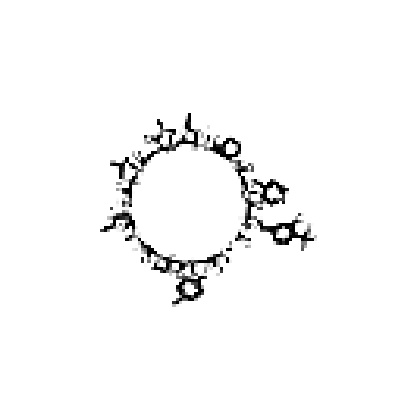 CC[C@H](C)[C@@H]1NC(=O)[C@H](CC(C)C)N(C)C(=O)C[C@@H](C(=O)N(C)C)N(C)C(=O)[C@H]([C@@H](C)CC)N(C)C(=O)C2(CCCC2)NC(=O)[C@H](Cc2ccncc2)N(C)C(=O)[C@H](CCc2ccc(C(F)(F)F)c(Cl)c2)NC(=O)CN(C)C(=O)[C@H](Cc2ccc(C)cc2)N(C)C(=O)[C@@H]2CCN2C(=O)[C@H](C)N(C)C1=O